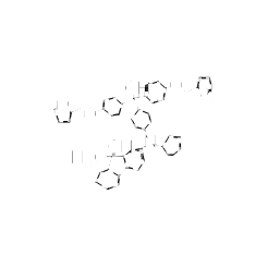 CC1(C)c2ccccc2-c2ccc(N(c3ccccc3)c3ccc(C(C)(c4ccc(OCc5ccco5)cc4)c4ccc(OCc5ccco5)cc4)cc3)cc21